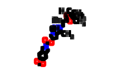 C=C(N/C=C(/B1OC(C)(C)C(C)(C)O1)C(C)CC)C1CC(OC(=O)N2Cc3cc4c(cc3C2)OCO4)CN1C